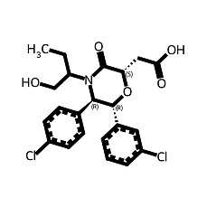 CCC(CO)N1C(=O)[C@H](CC(=O)O)O[C@H](c2cccc(Cl)c2)[C@H]1c1ccc(Cl)cc1